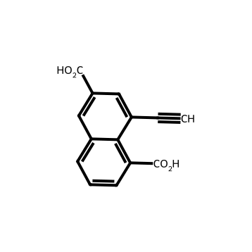 C#Cc1cc(C(=O)O)cc2cccc(C(=O)O)c12